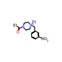 CCC(=O)N1CC[N+](CC)(Cc2cccc([N+](=O)[O-])c2)CC1